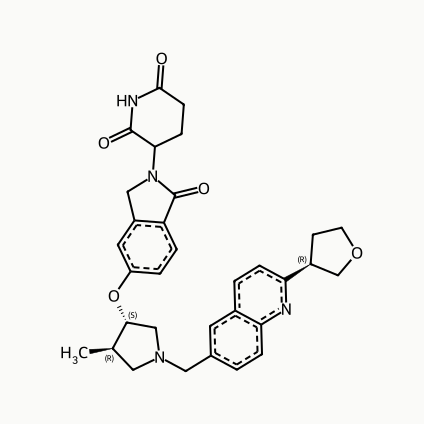 C[C@@H]1CN(Cc2ccc3nc([C@H]4CCOC4)ccc3c2)C[C@H]1Oc1ccc2c(c1)CN(C1CCC(=O)NC1=O)C2=O